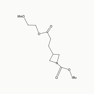 COCCOC(=O)CCC1CN(C(=O)OC(C)(C)C)C1